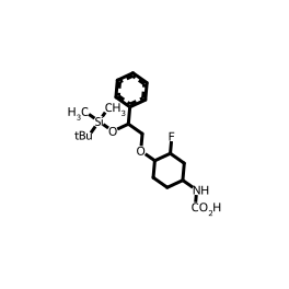 CC(C)(C)[Si](C)(C)OC(COC1CCC(NC(=O)O)CC1F)c1ccccc1